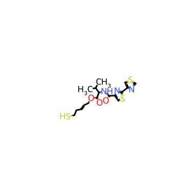 CC(C)C(NC(=O)c1csc(-c2cscn2)n1)C(=O)OC/C=C/CCS